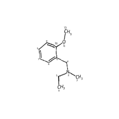 C[CH]N(C)Cc1ccccc1OC